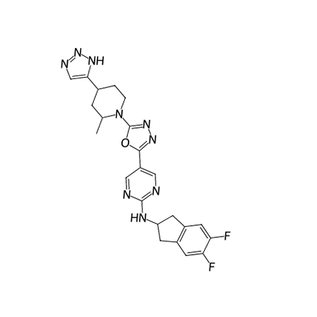 CC1CC(c2cnn[nH]2)CCN1c1nnc(-c2cnc(NC3Cc4cc(F)c(F)cc4C3)nc2)o1